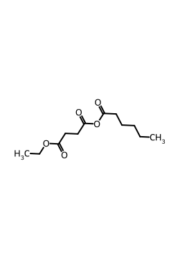 CCCCCC(=O)OC(=O)CCC(=O)OCC